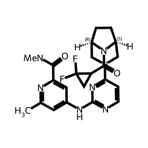 CNC(=O)c1cc(Nc2nccc(N3C[C@H]4CC[C@@H](C3)N4C(=O)C3CC3(F)F)n2)cc(C)n1